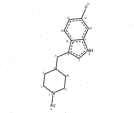 CC(=O)N1CCC(Cc2c[nH]c3cc(F)ccc23)CC1